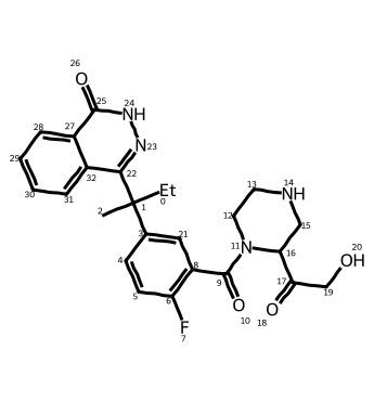 CCC(C)(c1ccc(F)c(C(=O)N2CCNCC2C(=O)CO)c1)c1n[nH]c(=O)c2ccccc12